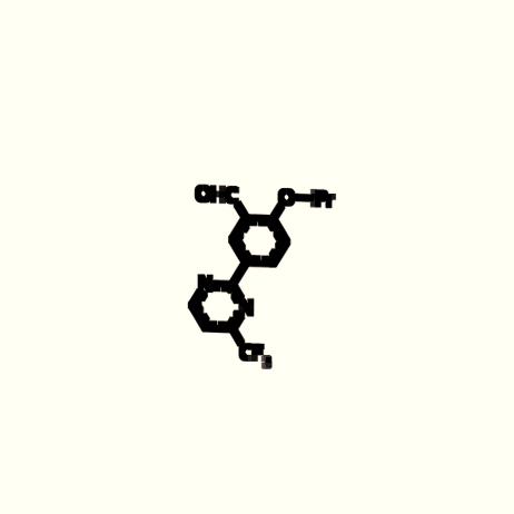 CC(C)Oc1ccc(-c2nccc(C(F)(F)F)n2)cc1C=O